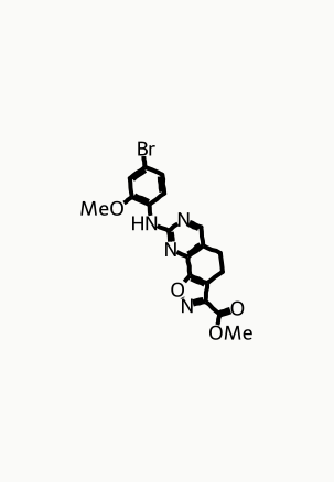 COC(=O)c1noc2c1CCc1cnc(Nc3ccc(Br)cc3OC)nc1-2